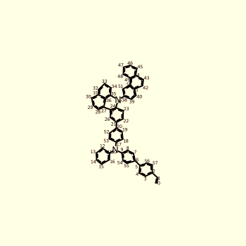 C=Cc1ccc(-c2ccc(N(c3ccccc3)c3ccc(-c4ccc5c(c4)-c4cccc6cccc(c46)N5c4ccc5ccc6ccccc6c5c4)cc3)cc2)cc1